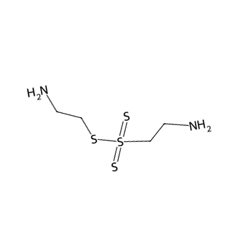 NCCSS(=S)(=S)CCN